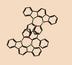 c1ccc(-c2nc3nc(-n4c5ccccc5c5ccc6c7ccccc7n(-c7ccccc7)c6c54)cnc3nc2-n2c3ccccc3c3ccc4c5ccccc5n(-c5ccccc5)c4c32)cc1